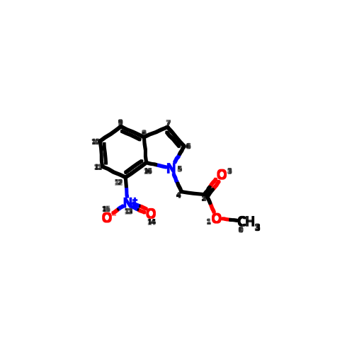 COC(=O)Cn1ccc2cccc([N+](=O)[O-])c21